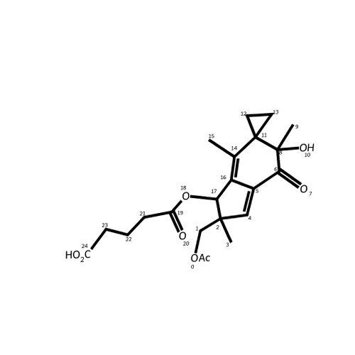 CC(=O)OCC1(C)C=C2C(=O)C(C)(O)C3(CC3)C(C)=C2C1OC(=O)CCCC(=O)O